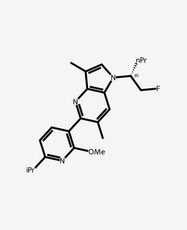 CCC[C@H](CF)n1cc(C)c2nc(-c3ccc(C(C)C)nc3OC)c(C)cc21